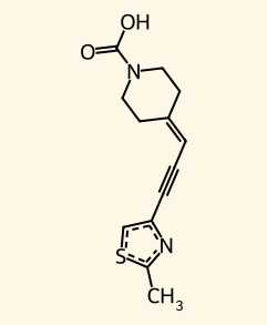 Cc1nc(C#CC=C2CCN(C(=O)O)CC2)cs1